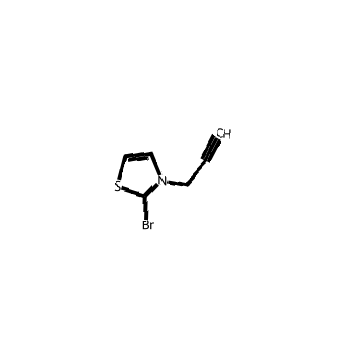 C#CCN1C=CSC1Br